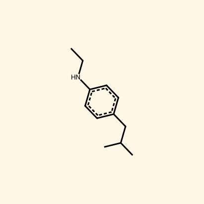 CCNc1ccc(CC(C)C)cc1